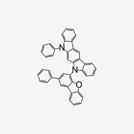 c1ccc(-c2cc(-n3c4ccccc4c4cc5c6ccccc6n(-c6ccccc6)c5cc43)c3oc4ccccc4c3c2)cc1